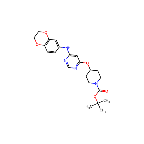 CC(C)(C)OC(=O)N1CCC(Oc2cc(Nc3ccc4c(c3)OCCO4)ncn2)CC1